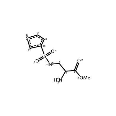 COC(=O)C(N)CNS(=O)(=O)c1ccsc1